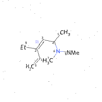 C=C/C(=C\C(C)N(C)NC)CC